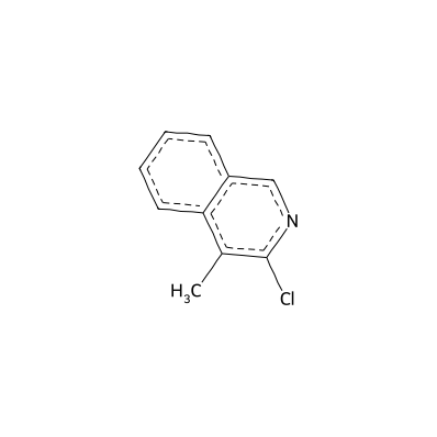 Cc1c(Cl)ncc2ccccc12